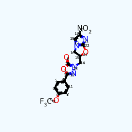 O=c1oc(-c2ccc(OC(F)(F)F)cc2)nn1CC1Cn2cc([N+](=O)[O-])nc2O1